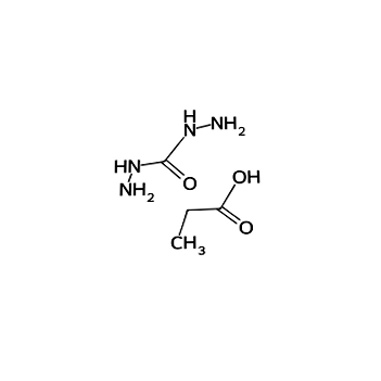 CCC(=O)O.NNC(=O)NN